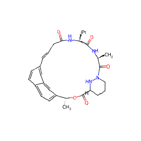 CC(C)[C@@H]1NC(=O)C/C=C/c2ccc3ccc(cc3c2)[C@@H](C)OC(=O)[C@@H]2CCCN(N2)C(=O)[C@H](C)NC1=O